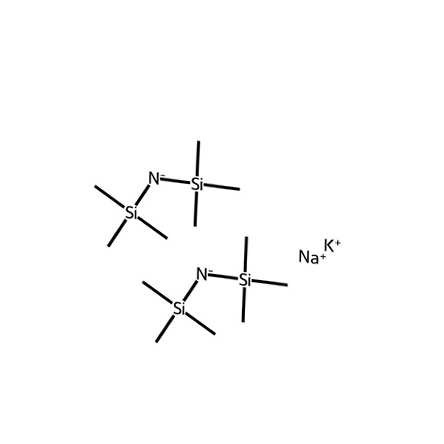 C[Si](C)(C)[N-][Si](C)(C)C.C[Si](C)(C)[N-][Si](C)(C)C.[K+].[Na+]